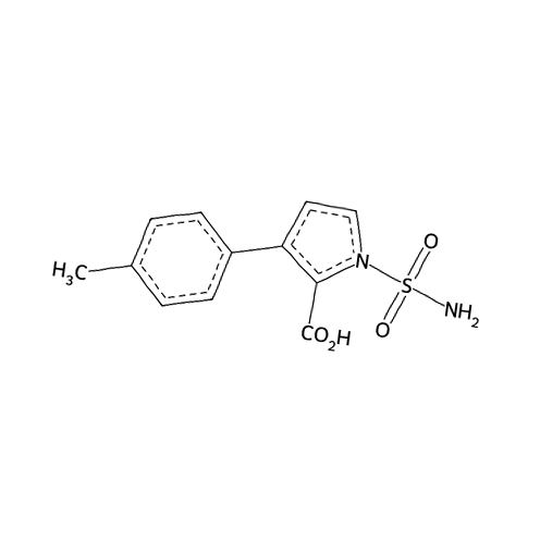 Cc1ccc(-c2ccn(S(N)(=O)=O)c2C(=O)O)cc1